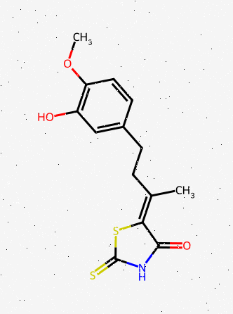 COc1ccc(CC/C(C)=C2\SC(=S)NC2=O)cc1O